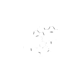 CC(=O)OC[C@H]1O[C@@H](n2cc(C(=O)c3ccc(Br)cc3)c3c(C)cccc32)[C@H](OC(C)=O)[C@@H](OC(C)=O)[C@@H]1OC(C)=O